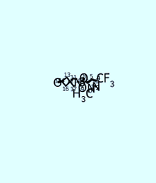 Cn1nc(C(F)(F)F)cc1S(=O)(=O)N1CC2(CC(=O)C2)C1